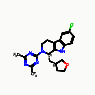 FC(F)(F)c1nc(N2CCc3c([nH]c4ccc(Cl)cc34)[C@@H]2C[C@@H]2CCOC2)nc(C(F)(F)F)n1